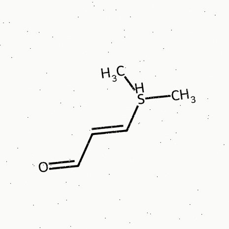 C[SH](C)C=CC=O